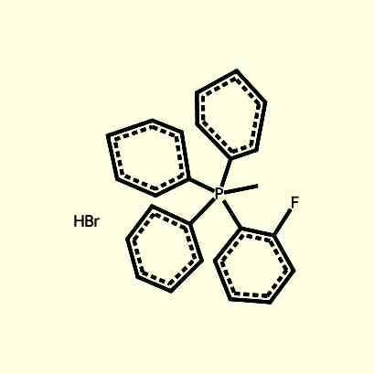 Br.CP(c1ccccc1)(c1ccccc1)(c1ccccc1)c1ccccc1F